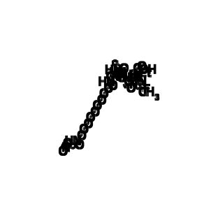 CC[C@@]1(O)C(=O)OCc2c1cc1n(c2=O)Cc2c-1nc1cc(F)c(C)c3c1c2[C@@H](NC(=O)[C@H](OCNC(=O)CNC(=O)[C@H](Cc1ccccc1)NC(=O)CNC(=O)CNC(=O)COCCOCCOCCOCCOCCOCCOCCOCCOCCNC(=O)[C@H]1CC[C@H](CN2C(=O)C=CC2=O)CC1)C1CC1)CC3